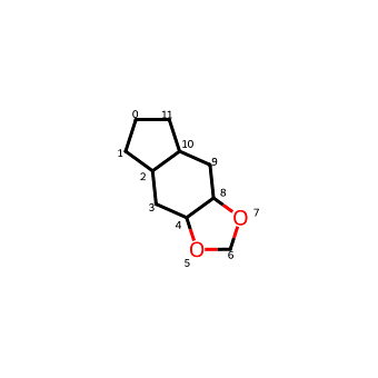 C1CC2CC3OCOC3CC2C1